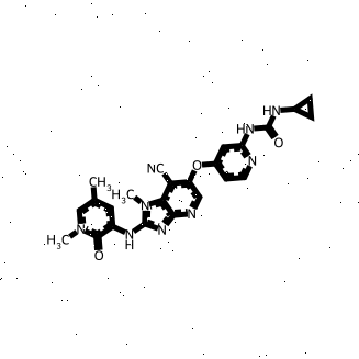 Cc1cc(Nc2nc3ncc(Oc4ccnc(NC(=O)NC5CC5)c4)c(C#N)c3n2C)c(=O)n(C)c1